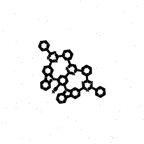 Cc1cc(C)nc(-c2cc(-n3c4ccccc4c4ccc(-c5nc(-c6ccccc6)nc(-c6ccccc6)n5)cc43)c(C#N)c(-n3c4ccccc4c4ccc(-c5nc(-c6ccccc6)nc(-c6ccccc6)n5)cc43)c2)n1